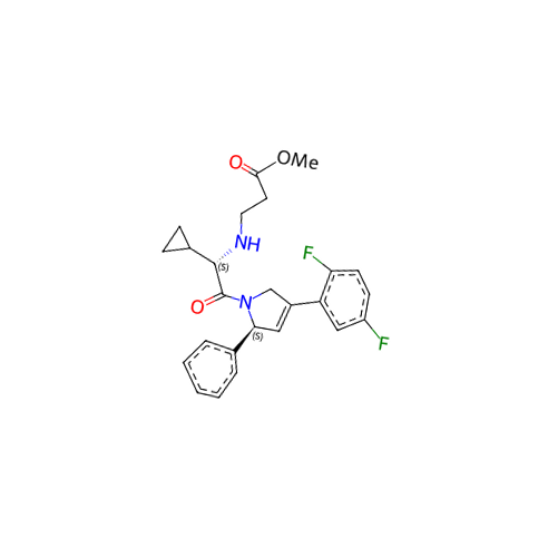 COC(=O)CCN[C@H](C(=O)N1CC(c2cc(F)ccc2F)=C[C@H]1c1ccccc1)C1CC1